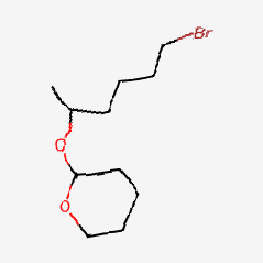 CC(CCCCBr)OC1CCCCO1